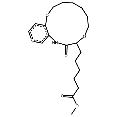 COC(=O)CCCCCC1OCCCCCCOc2ccncc2NC1=O